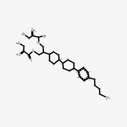 C=C(CO)C(=O)OCC(COC(O)C(=C)CO)C1CCC(C2CCC(c3ccc(CCCCC)cc3)CC2)CC1